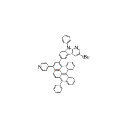 CC(C)(C)c1cnc2c(c1)c1cc(-c3cc(-c4ccncc4)ccc3-c3ccccc3-c3c4ccccc4c(-c4ccccc4)c4ccccc34)ccc1n2-c1ccccc1